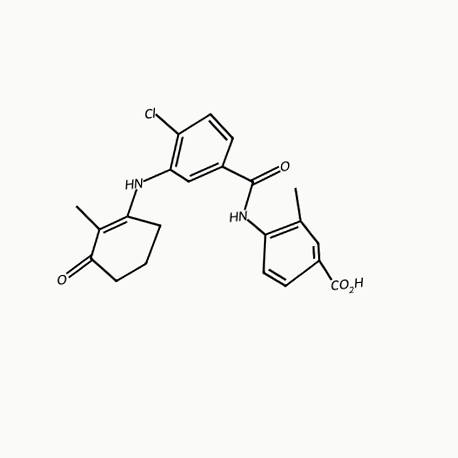 CC1=C(Nc2cc(C(=O)Nc3ccc(C(=O)O)cc3C)ccc2Cl)CCCC1=O